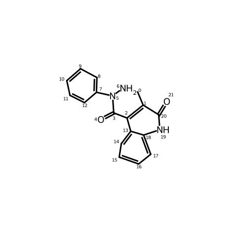 Cc1c(C(=O)N(N)c2ccccc2)c2ccccc2[nH]c1=O